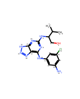 CC(C)C(CO)Nc1nc(Nc2cc(N)cc(Cl)c2)c2nn[nH]c2n1